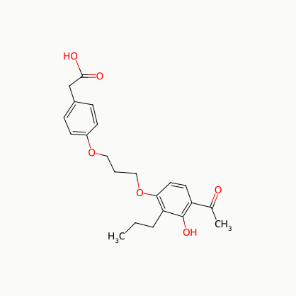 CCCc1c(OCCCOc2ccc(CC(=O)O)cc2)ccc(C(C)=O)c1O